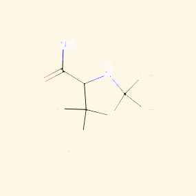 CC1(C)NC(C(N)=O)C(C)(C)S1.Cl